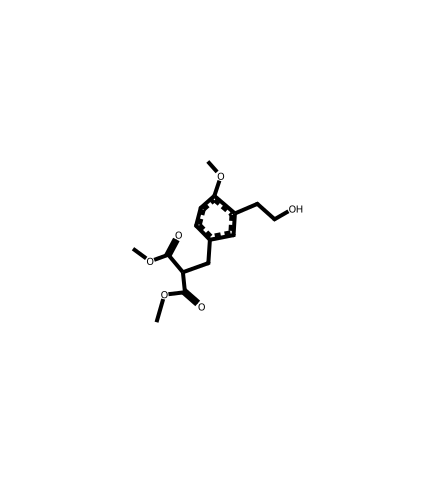 COC(=O)C(Cc1ccc(OC)c(CCO)c1)C(=O)OC